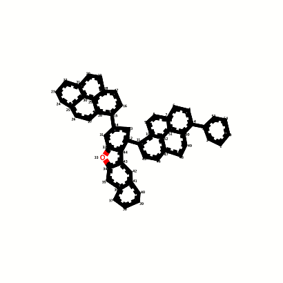 c1ccc(-c2ccc3ccc4c(-c5cc(-c6ccc7ccc8cccc9ccc6c7c89)cc6oc7cc8ccccc8cc7c56)ccc5ccc2c3c54)cc1